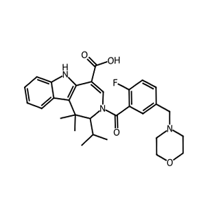 CC(C)C1N(C(=O)c2cc(CN3CCOCC3)ccc2F)C=C(C(=O)O)c2[nH]c3ccccc3c2C1(C)C